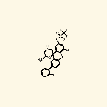 NC1CNCC2(O1)c1cc(-c3cccnc3F)ccc1Oc1c(F)cc(OS(=O)(=O)C(F)(F)F)cc12